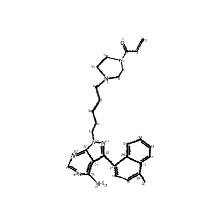 C=CC(=O)N1CCN(CCCCCn2nc(-c3ccc(C)c4ccccc34)c3c(N)ncnc32)CC1